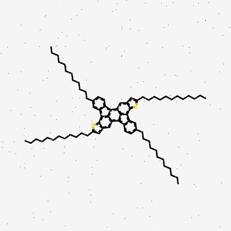 CCCCCCCCCCCCc1ccc2c(c1)c1c3sc(CCCCCCCCCCCC)cc3cc3c4c5ccc(CCCCCCCCCCCC)cc5c5c6sc(CCCCCCCCCCCC)cc6cc(c2c31)c45